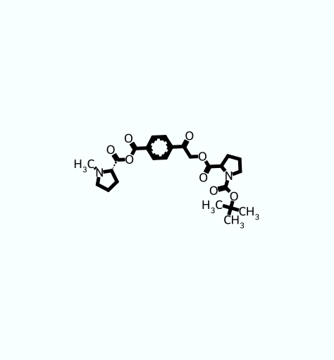 CN1CCC[C@H]1C(=O)OC(=O)c1ccc(C(=O)COC(=O)C2CCCN2C(=O)OC(C)(C)C)cc1